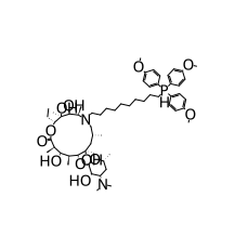 CC[C@H]1OC(=O)[C@H](C)[C@@H](O)[C@H](C)[C@@H](O[C@@H]2O[C@H](C)C[C@H](N(C)C)[C@H]2O)[C@](C)(O)C[C@@H](C)CN(CCCCCCCCCC[PH](c2ccc(OC)cc2)(c2ccc(OC)cc2)c2ccc(OC)cc2)[C@H](C)[C@@H](O)[C@]1(C)O